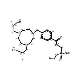 CCOP(=O)(O)CNC(=O)c1ccc(CN2CCN(C[C@H](C)O)CCN(C[C@H](C)O)CC2)cc1